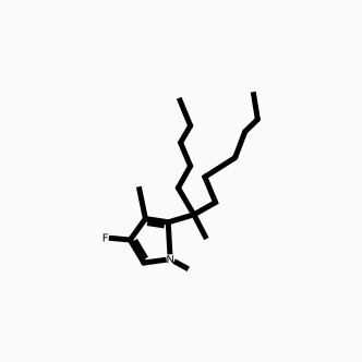 CCCCCCC(C)(CCCCC)c1c(C)c(F)cn1C